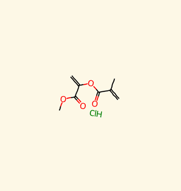 C=C(C)C(=O)OC(=C)C(=O)OC.Cl